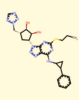 CCCSc1nc(NC2CC2c2ccccc2)c2nnn([C@@H]3C[C@H](Cn4ncnn4)[C@@H](O)[C@H]3O)c2n1